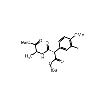 COC(=O)C(C)NC(=O)[C@@H](C(=O)OC(C)(C)C)c1ccc(OC)c(I)c1